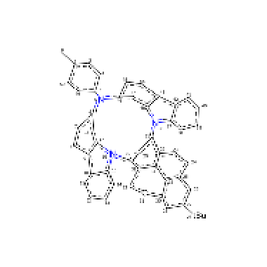 Cc1ccc(-n2c3ccc4c5ccccc5n(c4c3)c3cc(c4ccc5cc(C(C)(C)C)cc6ccc3c4c65)n3c4ccccc4c4ccc2cc43)cc1